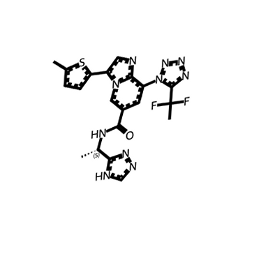 Cc1ccc(-c2cnc3c(-n4nnnc4C(C)(F)F)cc(C(=O)N[C@@H](C)c4nnc[nH]4)cn23)s1